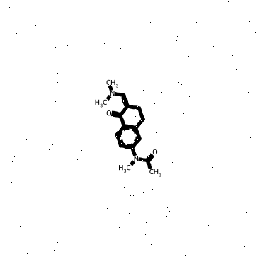 CC(=O)N(C)c1ccc2c(c1)CC/C(=C/N(C)C)C2=O